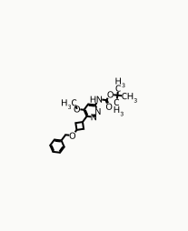 COc1cc(NC(=O)OC(C)(C)C)nnc1C1CC(OCc2ccccc2)C1